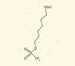 CCCCCCCCCCCCCCOS(=O)(=O)C(F)(F)F